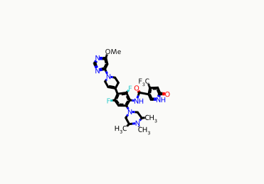 COc1cc(N2CC=C(c3c(F)cc(N4CC(C)N(C)C(C)C4)c(NC(=O)c4c[nH]c(=O)cc4C(F)(F)F)c3F)CC2)ncn1